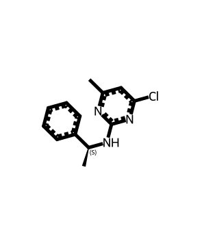 Cc1cc(Cl)nc(N[C@@H](C)c2ccccc2)n1